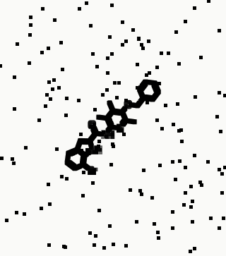 Cc1nc(NC(=O)c2cc3cccc(Br)c3[nH]2)c(C)c(C)c1OCc1ccccc1